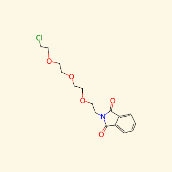 O=C1c2ccccc2C(=O)N1CCOCCOCCOCCCl